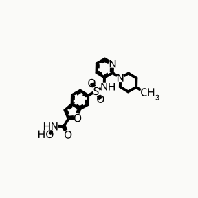 CC1CCN(c2ncccc2NS(=O)(=O)c2ccc3cc(C(=O)NO)oc3c2)CC1